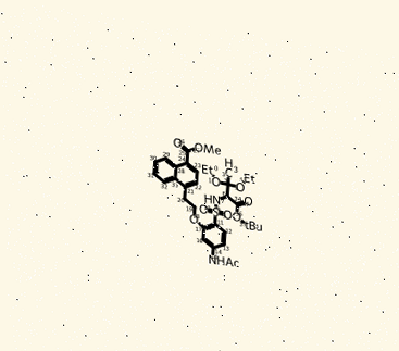 CCOC(C)(OCC)C(NS(=O)(=O)c1ccc(NC(C)=O)cc1OCCc1ccc(C(=O)OC)c2ccccc12)C(=O)OC(C)(C)C